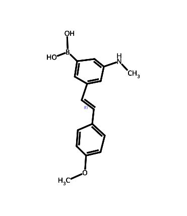 CNc1cc(/C=C/c2ccc(OC)cc2)cc(B(O)O)c1